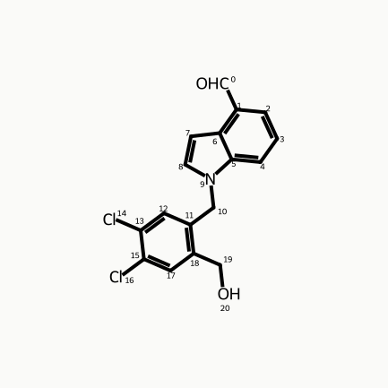 O=Cc1cccc2c1ccn2Cc1cc(Cl)c(Cl)cc1CO